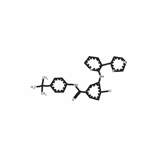 CC(C)(C)c1ccc(NC(=O)c2ccc(Cl)c(Nc3ncccc3-c3ccncn3)c2)cc1